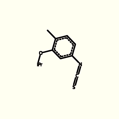 Cc1ccc(N=C=S)cc1OC(C)C